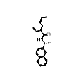 C=C/C(=C\C=C/C)C(=O)N[C@H](C)c1ccc2ccccc2c1